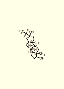 C[C@]12CCC(O)(C(F)(F)C(F)(F)F)CC1=CC[C@@H]1[C@H]2CC[C@]2(C)C(O)CC[C@@H]12